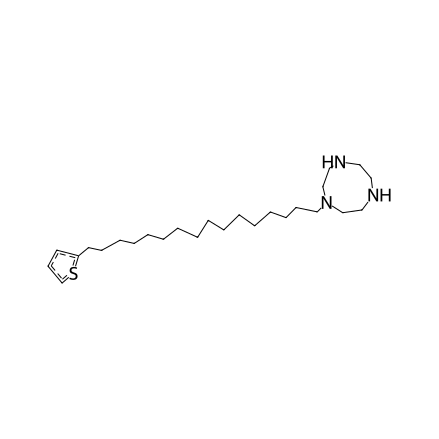 c1csc(CCCCCCCCCCCCCCCCN2CCNCCNCC2)c1